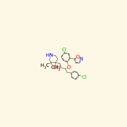 CC1(C)CNCCC1(O)CCC(Cc1ccc(Cl)cc1)Oc1ccc(Cl)cc1-c1ccno1